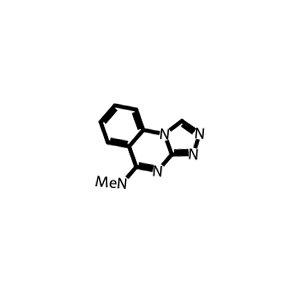 CNc1nc2nncn2c2ccccc12